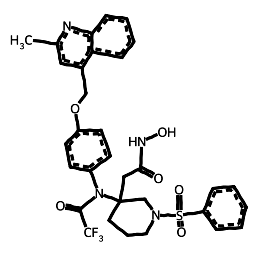 Cc1cc(COc2ccc(N(C(=O)C(F)(F)F)C3(CC(=O)NO)CCCN(S(=O)(=O)c4ccccc4)C3)cc2)c2ccccc2n1